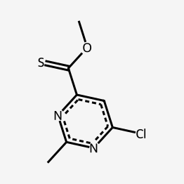 COC(=S)c1cc(Cl)nc(C)n1